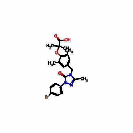 Cc1cc(Cn2c(C)nn(-c3ccc(Br)cc3)c2=O)cc(C)c1OC(C)(C)C(=O)O